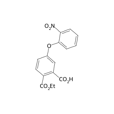 CCOC(=O)c1ccc(Oc2ccccc2[N+](=O)[O-])cc1C(=O)O